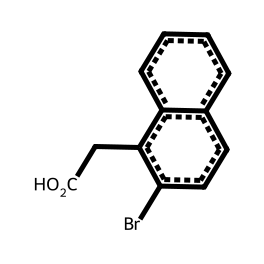 O=C(O)Cc1c(Br)ccc2ccccc12